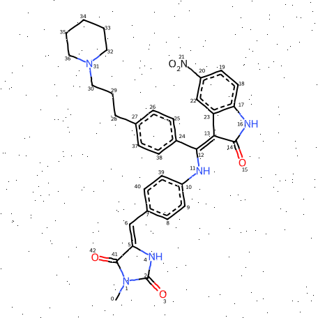 CN1C(=O)N/C(=C\c2ccc(N/C(=C3\C(=O)Nc4ccc([N+](=O)[O-])cc43)c3ccc(CCCN4CCCCC4)cc3)cc2)C1=O